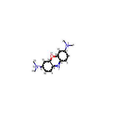 CN(C)c1ccc2nc3ccc(=[N+](C)C)cc-3oc2c1